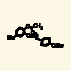 CCC(C)c1ccc(OC(C)OCCc2ccc(OC)cc2)c(OC)c1